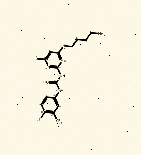 Cc1cc(NCCCCN)nc(NC(=O)Nc2ccc(F)c(C(F)(F)F)c2)n1